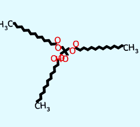 CCCCCCCCCCCCCC(=O)OCC(CO)(COC(=O)CCCCCCCCCCCCC)COC(=O)CCCCCCCCCCCCC